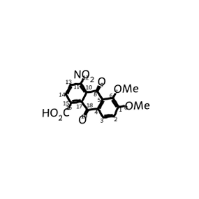 COc1ccc2c(c1OC)C(=O)c1c([N+](=O)[O-])ccc(C(=O)O)c1C2=O